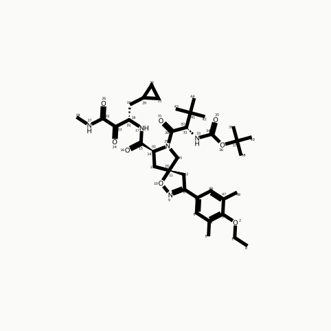 CCOc1c(C)cc(C2=NO[C@]3(C2)C[C@@H](C(=O)N[C@@H](CC2CC2)C(=O)C(=O)NC)N(C(=O)[C@@H](NC(=O)OC(C)(C)C)C(C)(C)C)C3)cc1C